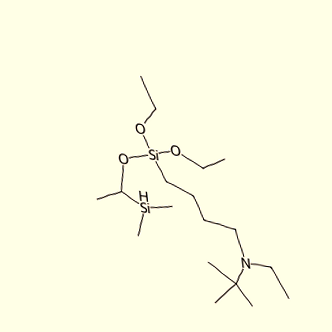 CCO[Si](CCCCN(CC)C(C)(C)C)(OCC)OC(C)[SiH](C)C